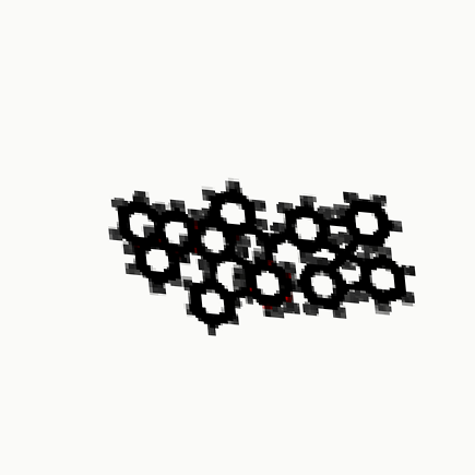 c1ccc(-c2ccccc2-c2c(-c3ccccc3)cccc2-c2ccccc2N(c2cccc(-c3ccc4ccccc4c3)c2)c2ccc3c(c2)C2(c4ccccc4-c4ccccc42)c2ccccc2-3)cc1